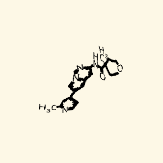 Cc1cc(-c2cc3cc(NC(=O)C4(C)CCOCC4)ncn3c2)ccn1